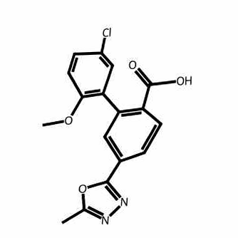 COc1ccc(Cl)cc1-c1cc(-c2nnc(C)o2)ccc1C(=O)O